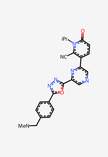 CNCc1ccc(-c2nnc(-c3cncc(-c4ccc(=O)n(C(C)C)c4C#N)n3)o2)cc1